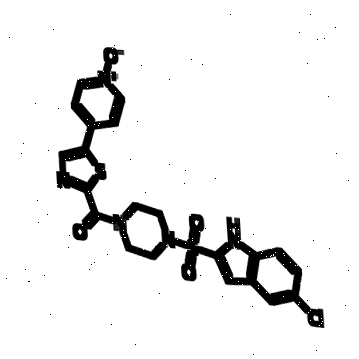 O=C(c1ncc(-c2cc[n+]([O-])cc2)s1)N1CCN(S(=O)(=O)c2cc3cc(Cl)ccc3[nH]2)CC1